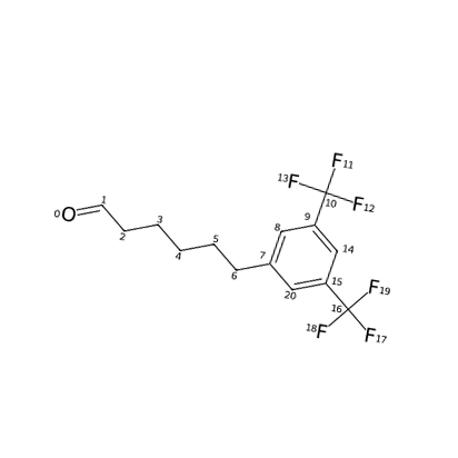 O=CCCCCCc1cc(C(F)(F)F)cc(C(F)(F)F)c1